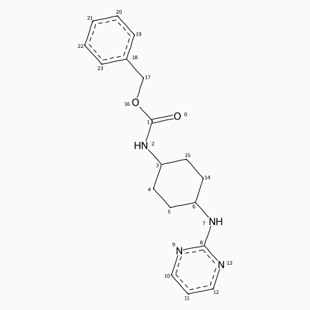 O=C(NC1CCC(Nc2ncccn2)CC1)OCc1ccccc1